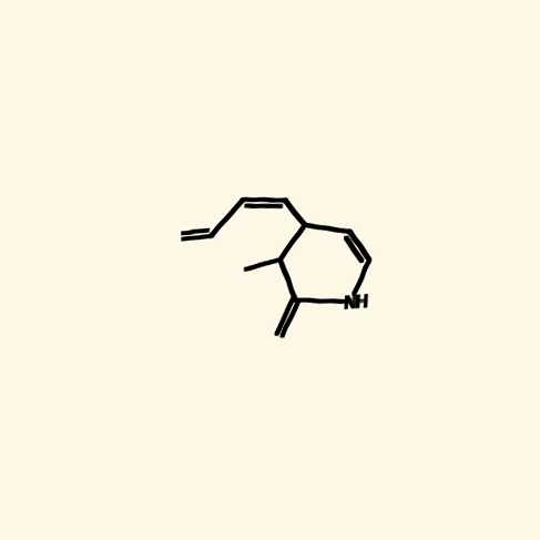 C=C/C=C\C1C=CNC(=C)C1C